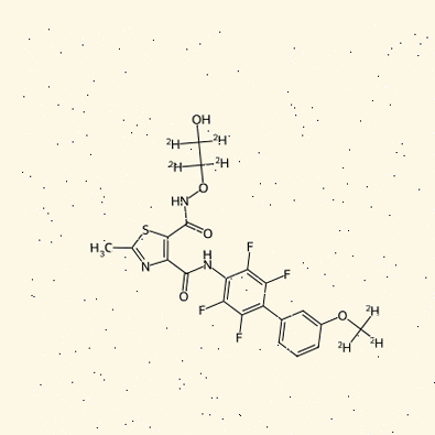 [2H]C([2H])([2H])Oc1cccc(-c2c(F)c(F)c(NC(=O)c3nc(C)sc3C(=O)NOC([2H])([2H])C([2H])([2H])O)c(F)c2F)c1